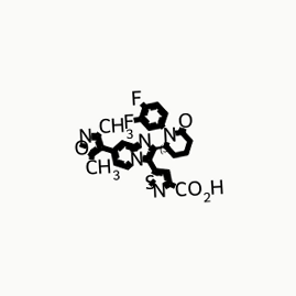 Cc1noc(C)c1-c1ccn2c(-c3cc(C(=O)O)ns3)c([C@@H]3CCCC(=O)N3c3ccc(F)c(F)c3)nc2c1